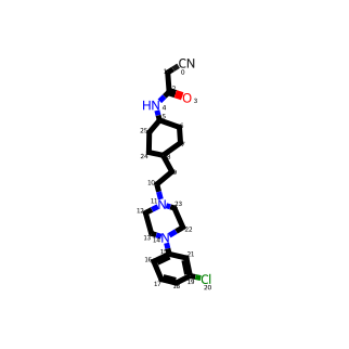 N#CCC(=O)NC1CCC(CCN2CCN(c3cccc(Cl)c3)CC2)CC1